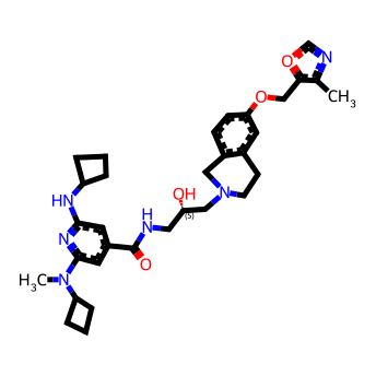 Cc1ncoc1COc1ccc2c(c1)CCN(C[C@@H](O)CNC(=O)c1cc(NC3CCC3)nc(N(C)C3CCC3)c1)C2